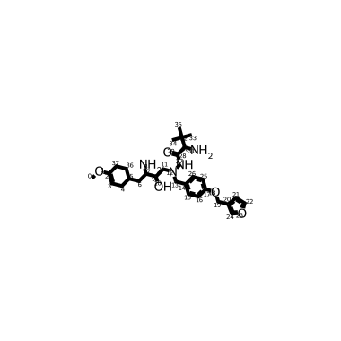 COC1=CCC(CC(N)C(O)CN(Cc2ccc(OCc3ccoc3)cc2)NC(=O)C(N)C(C)(C)C)CC1